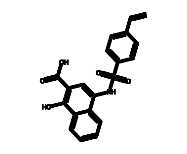 C=Cc1ccc(S(=O)(=O)Nc2cc(C(=O)O)c(O)c3ccccc23)cc1